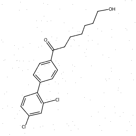 O=C(CCCCCCO)c1ccc(-c2ccc(Cl)cc2Cl)cc1